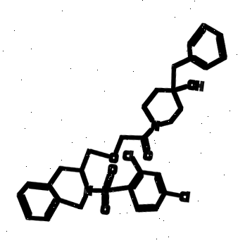 O=C(COCC1Cc2ccccc2CN1S(=O)(=O)c1ccc(Cl)cc1Cl)N1CCC(O)(Cc2ccccc2)CC1